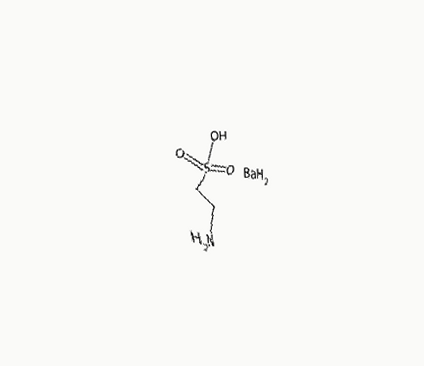 NCCS(=O)(=O)O.[BaH2]